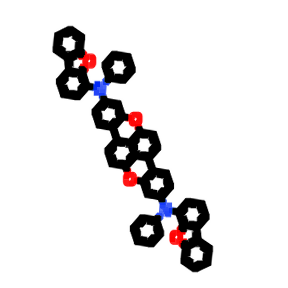 c1ccc(N(c2ccc3c(c2)Oc2ccc4c5c(ccc-3c25)Oc2cc(N(c3ccccc3)c3cccc5c3oc3ccccc35)ccc2-4)c2cccc3c2oc2ccccc23)cc1